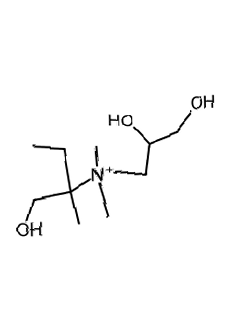 CCC(C)(CO)[N+](C)(C)CC(O)CO